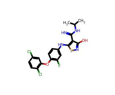 CC(C)NC(=N)c1c(O)nsc1Nc1ccc(Oc2cc(Cl)ccc2Cl)c(F)c1